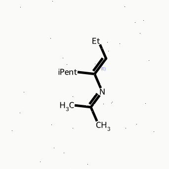 CC/C=C(/N=C(C)C)C(C)CCC